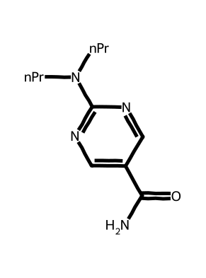 CCCN(CCC)c1ncc(C(N)=O)cn1